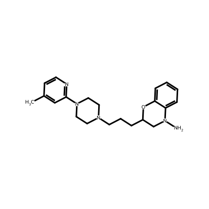 Cc1ccnc(N2CCN(CCCC3CN(N)c4ccccc4O3)CC2)c1